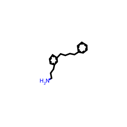 NCCCc1cccc(CCCCc2ccccc2)c1